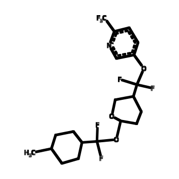 CC1CCC(C(F)(F)OC2CCC(C(F)(F)Oc3ccc(C(F)(F)F)nc3)CO2)CC1